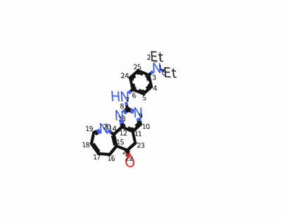 CCN(CC)c1ccc(Nc2ncc3c(n2)C2=C(CC=CC=N2)C(=O)C3)cc1